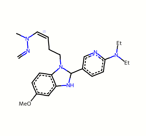 C=NN(C)/C=C\CCN1c2ccc(OC)cc2NC1c1ccc(N(CC)CC)nc1